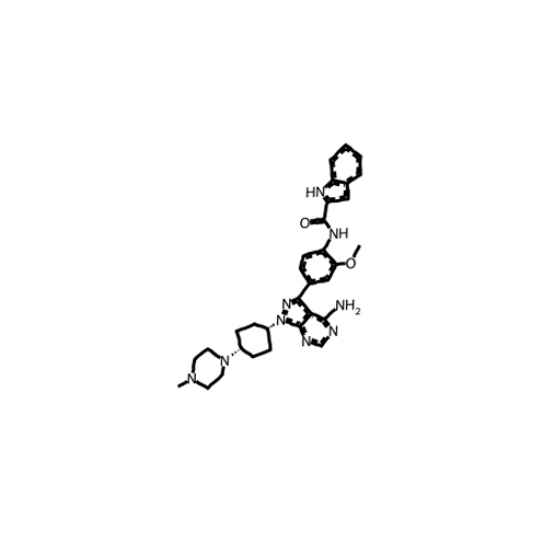 COc1cc(-c2nn([C@H]3CC[C@@H](N4CCN(C)CC4)CC3)c3ncnc(N)c23)ccc1NC(=O)c1cc2ccccc2[nH]1